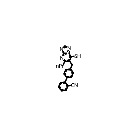 CCCc1nc2ncnn2c(S)c1Cc1ccc(-c2ccccc2C#N)cc1